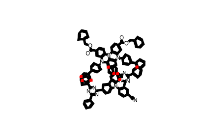 N#Cc1ccc(-n2c3ccc(-c4cc5c6c(c4)N(c4ccc(-c7ccccc7)cc4)c4cc(C(=O)OCc7ccccc7)ccc4B6c4ccc(C(=O)OCc6ccccc6)cc4N5c4ccc(-c5ccccc5)cc4)cc3c3cc(-c4nc(-c5ccccc5)nc(-c5ccccc5)n4)ccc32)c(-c2nc(-c3ccccc3)nc(-c3ccccc3)n2)c1